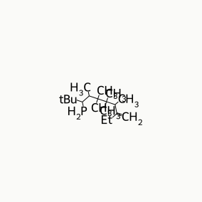 C=C(CC)C(C)C(C)(C)C(C)(C)C(C)C(P)C(C)(C)C